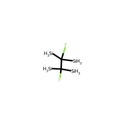 FC([SiH3])([SiH3])C(F)([SiH3])[SiH3]